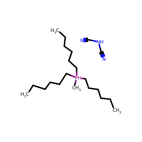 CCCCCC[PH](C)(CCCCCC)CCCCCC.N#CNC#N